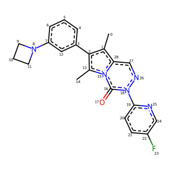 Cc1c(-c2cccc(N3CCC3)c2)c(C)n2c(=O)n(-c3ccc(F)cn3)ncc12